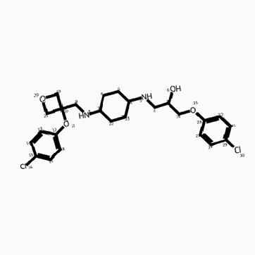 OC(CNC1CCC(NCC2(Oc3ccc(Cl)cc3)COC2)CC1)COc1ccc(Cl)cc1